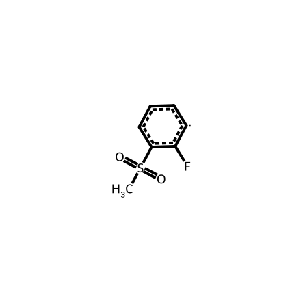 CS(=O)(=O)c1ccc[c]c1F